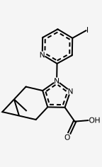 CC12Cc3c(c(C(=O)O)nn3-c3cc(I)ccn3)CC1C2